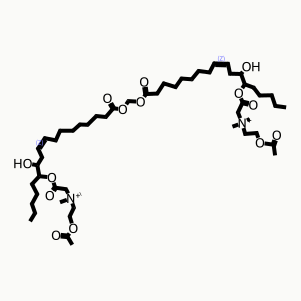 CCCCCC(OC(=O)C[N+](C)(C)CCOC(C)=O)C(O)C/C=C\CCCCCCCC(=O)OCOC(=O)CCCCCCC/C=C\CC(O)C(CCCCC)OC(=O)C[N+](C)(C)CCOC(C)=O